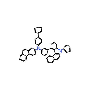 c1ccc(-c2ccc(N(c3cccc(-c4cccc5c4c4c6ccccc6ccc4n5-c4ccccc4)c3)c3ccc4c(ccc5ccccc54)c3)cc2)cc1